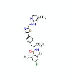 CCc1cc(F)cc(C)c1C(=O)NC(Cc1ccc(-c2cnc(CNc3cc(C)ccn3)s2)cc1)C(=O)O